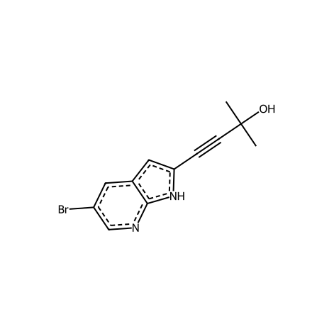 CC(C)(O)C#Cc1cc2cc(Br)cnc2[nH]1